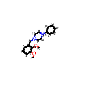 COc1cccc(CN2CCN(c3c[c]ccc3)CC2)c1OC